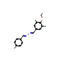 CCCc1ccc(/C=N/N=C/c2cc(F)c(OCC(F)(F)F)c(F)c2)cc1